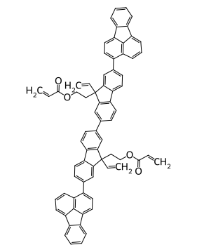 C=CC(=O)OCCC1(C=C)c2cc(-c3ccc4c(c3)C(C=C)(CCOC(=O)C=C)c3cc(-c5ccc6c7c(cccc57)-c5ccccc5-6)ccc3-4)ccc2-c2ccc(-c3ccc4c5c(cccc35)-c3ccccc3-4)cc21